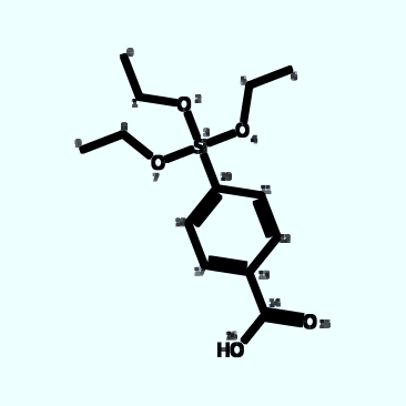 CCO[Si](OCC)(OCC)c1ccc(C(=O)O)cc1